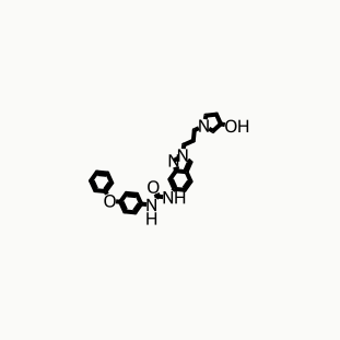 O=C(Nc1ccc(Oc2ccccc2)cc1)Nc1ccc2cn(CCCN3CCC(O)C3)nc2c1